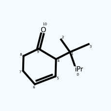 CC(C)C(C)(C)C1C=CCCC1=O